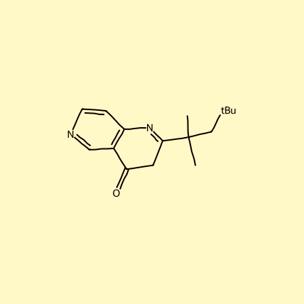 CC(C)(C)CC(C)(C)C1=Nc2ccncc2C(=O)C1